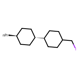 CCC[C@H]1CC[C@H](C2CCC(CI)CC2)CC1